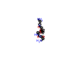 CC1(C)[C@@H]2C[C@H]1[C@@]1(C)OB(c3cccc4[nH]c(C(=O)N5CCC6(CC5)COc5ccc(CN)cc56)cc34)O[C@@H]1[C@@H]2Oc1cccc(C(=O)N2CCC(c3cccc(CN)c3)CC2)c1